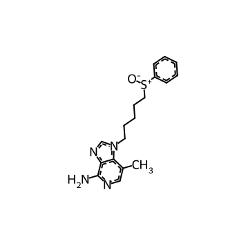 Cc1cnc(N)c2ncn(CCCCC[S+]([O-])c3ccccc3)c12